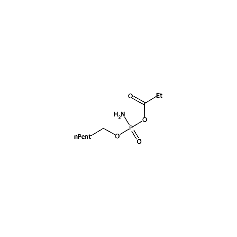 CCCCCCOP(N)(=O)OC(=O)CC